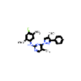 COc1cc(F)c([N+](=O)[O-])cc1Nc1ncc(C)c(-n2cc(C=O)c(-c3ccccc3)n2)n1